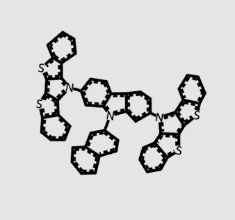 c1ccc2cc(-n3c4cc(-n5c6c7ccccc7sc6c6sc7ccccc7c65)ccc4c4ccc(-n5c6c7ccccc7sc6c6sc7ccccc7c65)cc43)ccc2c1